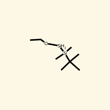 CCO[SiH2][Si](C)(C)C(C)(C)C